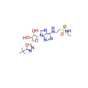 CCNS(=O)(=O)CCNc1ncnc2c1ncn2[C@@H]1O[C@H](c2nnc(C(C)(C)C)o2)[C@@H](O)[C@@H]1O